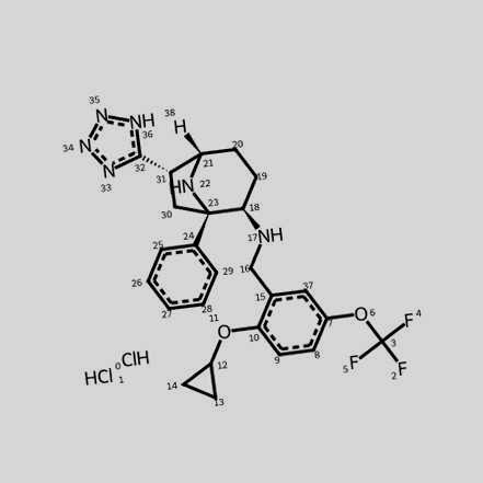 Cl.Cl.FC(F)(F)Oc1ccc(OC2CC2)c(CN[C@@H]2CC[C@@H]3N[C@@]2(c2ccccc2)C[C@@H]3c2nnn[nH]2)c1